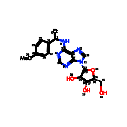 CCC(Nc1ncnc2c1ncn2[C@@H]1O[C@H](CO)[C@H](O)C1O)c1ccc(OC)cc1